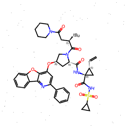 C=C[C@@H]1C[C@]1(NC(=O)[C@@H]1C[C@@H](Oc2cc(-c3ccccc3)nc3c2oc2ccccc23)CN1C(=O)[C@@H](CC(=O)N1CCCCC1)C(C)(C)C)C(=O)NS(=O)(=O)C1CC1